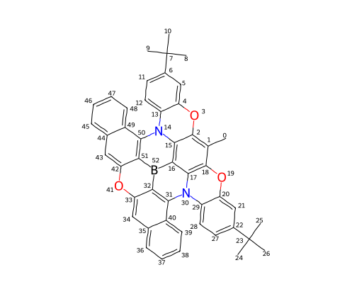 Cc1c2oc3cc(C(C)(C)C)ccc3n3c2c2c4c1oc1cc(C(C)(C)C)ccc1n4-c1c4c(cc5ccccc15)Oc1cc5ccccc5c-3c1B42